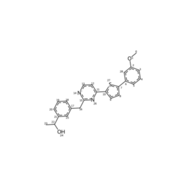 COc1cccc(-c2ccc(-c3ccnc(Cc4cccc(C(C)O)c4)n3)s2)c1